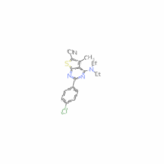 CCN(CC)c1nc(-c2ccc(Cl)cc2)nc2sc(C#N)c(C)c12